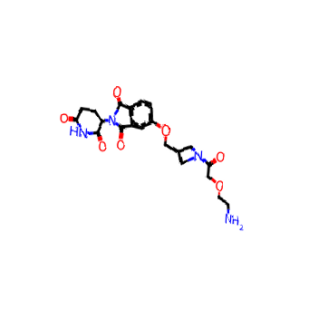 NCCOCC(=O)N1CC(COc2ccc3c(c2)C(=O)N(C2CCC(=O)NC2=O)C3=O)C1